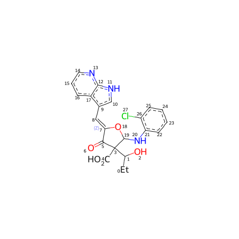 CCC(O)C1(C(=O)O)C(=O)/C(=C/c2c[nH]c3ncccc23)OC1Nc1ccccc1Cl